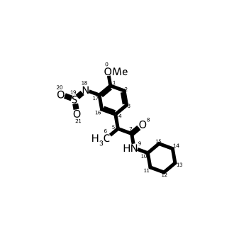 COc1ccc(C(C)C(=O)NC2CCCCC2)cc1N=S(=O)=O